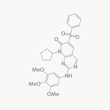 COc1cc(Nc2ncc3cc(S(=O)(=O)c4ccccc4)c(=O)n(C4CCCC4)c3n2)cc(OC)c1OC